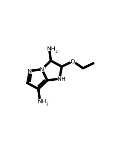 CCOC1NC2=C(N)C=N[N+]2C1N